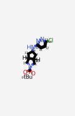 CC(C)(C)OC(=O)N1C[C@H]2CC(Nc3ccc(Cl)nn3)C[C@H]2C1